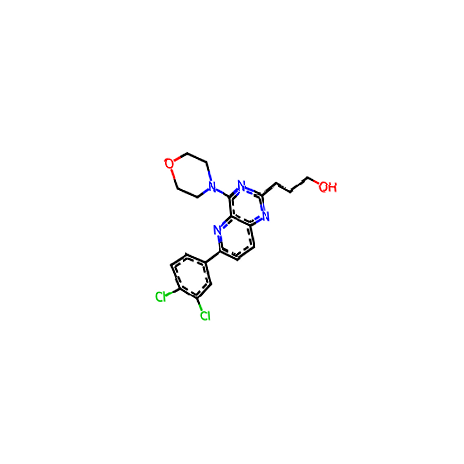 OCCCc1nc(N2CCOCC2)c2nc(-c3ccc(Cl)c(Cl)c3)ccc2n1